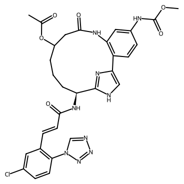 COC(=O)Nc1ccc2c(c1)NC(=O)CC(OC(C)=O)CCC[C@H](NC(=O)/C=C/c1cc(Cl)ccc1-n1cnnn1)c1nc-2c[nH]1